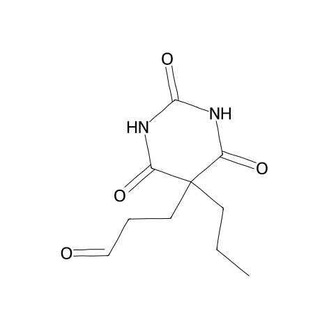 CCCC1(CCC=O)C(=O)NC(=O)NC1=O